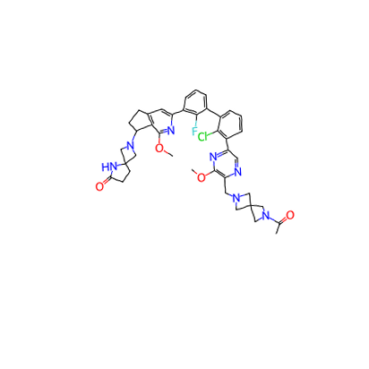 COc1nc(-c2cccc(-c3cccc(-c4cc5c(c(OC)n4)C(N4CC6(CCC(=O)N6)C4)CC5)c3F)c2Cl)cnc1CN1CC2(C1)CN(C(C)=O)C2